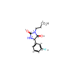 O=C(O)CCN1C(=O)NC(c2cccc(F)c2)C1=O